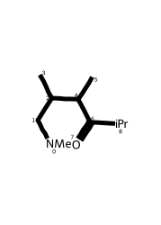 CNCC(C)C(C)C(=O)C(C)C